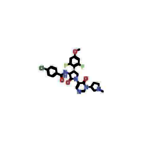 COc1cc(F)c([C@@H]2CN(c3cncn(C4CCN(C)C4)c3=O)C(=O)[C@H]2NC(=O)c2ccc(Cl)cc2)c(F)c1